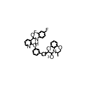 CC1COc2ccccc2N1C(=O)C(Cl)Cl.O=C(Nc1ccc(F)cc1F)c1cccnc1Oc1cccc(C(F)(F)F)c1